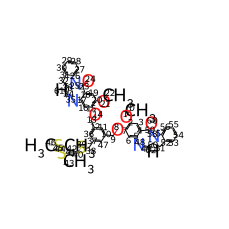 COc1cc2c(cc1OCc1cc(COc3cc4c(cc3OC)C(=O)N3c5ccccc5C[C@H]3C=N4)cc(CSCC(C)(C)SSC)c1)N=C[C@@H]1Cc3ccccc3N1C2=O